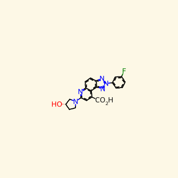 O=C(O)c1cc(N2CC[C@H](O)C2)nc2ccc3nn(-c4cccc(F)c4)nc3c12